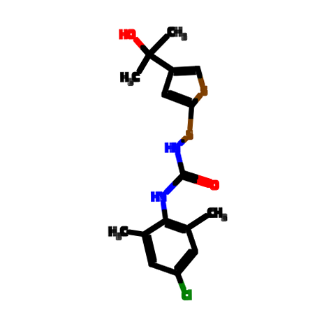 Cc1cc(Cl)cc(C)c1NC(=O)NSc1cc(C(C)(C)O)cs1